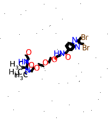 CC(C)C(C(=O)NCC=O)N(C)CCOCCOCCOCCNC(=O)c1ccc2nc(CBr)c(CBr)nc2c1